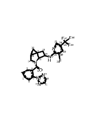 O=C(c1ccccc1-n1nccn1)N1CC2CC23CC(Nc2ncc(C(F)(F)F)cc2F)C13